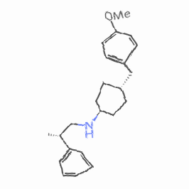 COc1ccc(C[C@H]2CC[C@H](NC[C@@H](C)c3ccccc3)CC2)cc1